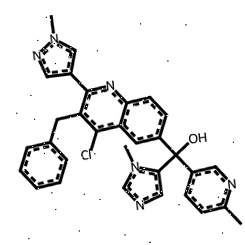 Cc1ccc(C(O)(c2ccc3nc(-c4cnn(C)c4)c(Cc4ccccc4)c(Cl)c3c2)c2cncn2C)cn1